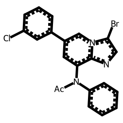 CC(=O)N(c1ccccc1)c1cc(-c2cccc(Cl)c2)cn2c(Br)cnc12